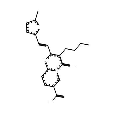 CCCCc1c(C=Cc2ccc(C)s2)nc2ccc(C(=O)O)cn2c1=O